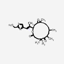 CC(=O)OCc1nc(/C=C(\C)C2CC3OC3(C)CCCC(C)CC(C)C(=O)C(C)(C)CCC(=O)O2)cs1